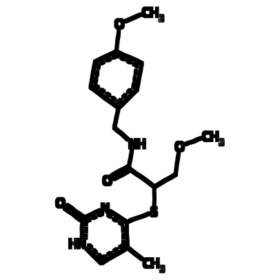 COCC(Sc1nc(=O)[nH]cc1C)C(=O)NCc1ccc(OC)cc1